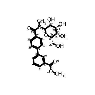 COC(=O)c1cccc(-c2ccc(C(=O)N(C)C3O[C@@H](CO)[C@@H](O)[C@@H](O)[C@H]3O)cc2)c1